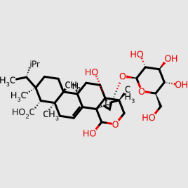 CC(C)[C@@H](C)[C@@]1(C)CC[C@]2(C)[C@H]3CC[C@H]4[C@]5(C)COC(O)[C@@]4(C[C@@H](O)[C@@H]5O[C@@H]4O[C@H](CO)[C@@H](O)[C@H](O)[C@H]4O)C3=CC[C@@]2(C)[C@@H]1C(=O)O